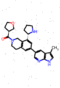 Cc1c[nH]c2ncc(-c3cc4c(c([C@@H]5CCCN5)c3)CN(C(=O)[C@H]3CCOC3)CC4)cc12